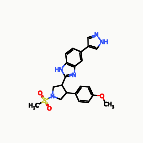 COc1ccc(C2CN(S(C)(=O)=O)CC2c2nc3cc(-c4cn[nH]c4)ccc3[nH]2)cc1